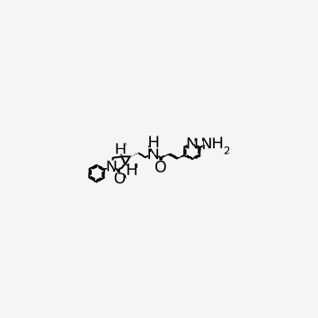 Nc1ccc(/C=C/C(=O)NCC[C@H]2[C@@H]3CN(c4ccccc4)C(=O)[C@H]23)cn1